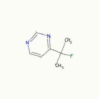 CC(C)(F)c1ccn[c]n1